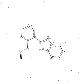 C=CCc1ccccc1-c1cc2ccccc2[nH]1